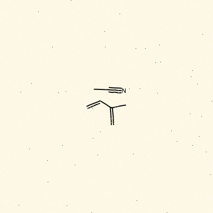 C=CC(=C)C.CC#N